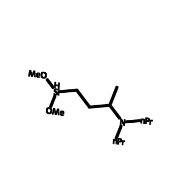 CCCN(CCC)C(C)CC[SiH](OC)OC